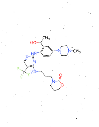 CC(O)c1cc(N2CCN(C)CC2)ccc1Nc1ncc(C(F)(F)F)c(NCCCN2CCCOC2=O)n1